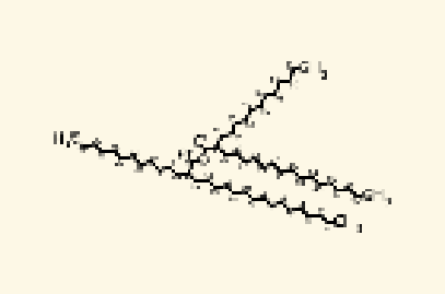 CCCCCCCCC=CCCCCCCC(CCCCCCCCCCCC)C(=O)OC(=O)C(CCCCCCC=CCCCCCCCC)CCCCCCCCCCCC